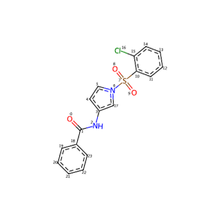 O=C(Nc1ccn(S(=O)(=O)c2ccccc2Cl)c1)c1ccccc1